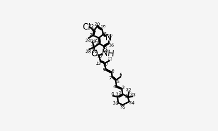 CC1=C(/C=C/C(C)=C/C=C/C(C)=C/C2Nc3cnc4ccc(Cl)c(C)c4c3C(C)(C)O2)C(C)(C)CCC1